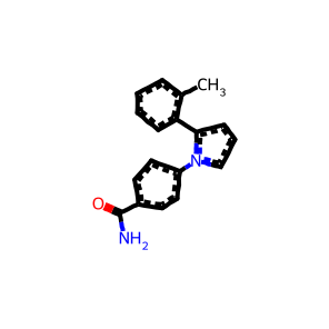 Cc1ccccc1-c1cccn1-c1ccc(C(N)=O)cc1